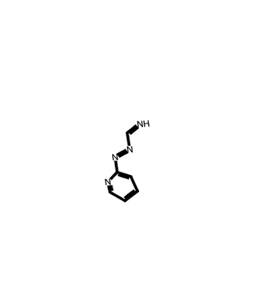 N=CN=Nc1ccccn1